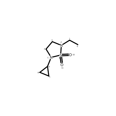 CCN1CCN(C2CC2)S1(=O)=O